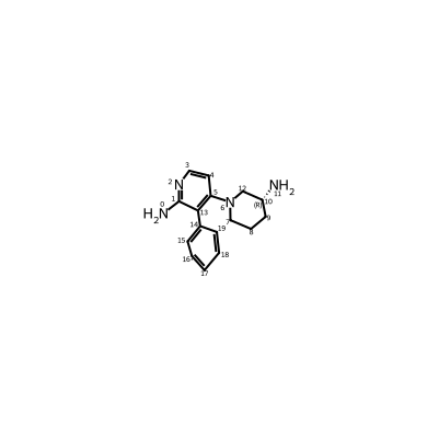 Nc1nccc(N2CCC[C@@H](N)C2)c1-c1c[c]ccc1